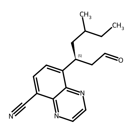 CCC(C)C[C@@H](CC=O)c1ccc(C#N)c2nccnc12